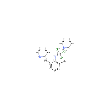 CC(C)c1cccc(C(C)C)c1[N]=[Ta]([Cl])([Cl])[Cl].c1ccncc1.c1ccncc1